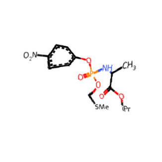 CSCOP(=O)(NC(C)C(=O)OC(C)C)Oc1ccc([N+](=O)[O-])cc1